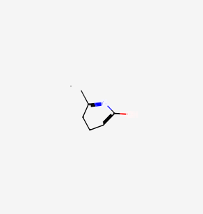 O=CC1=NC(O)=CCC1